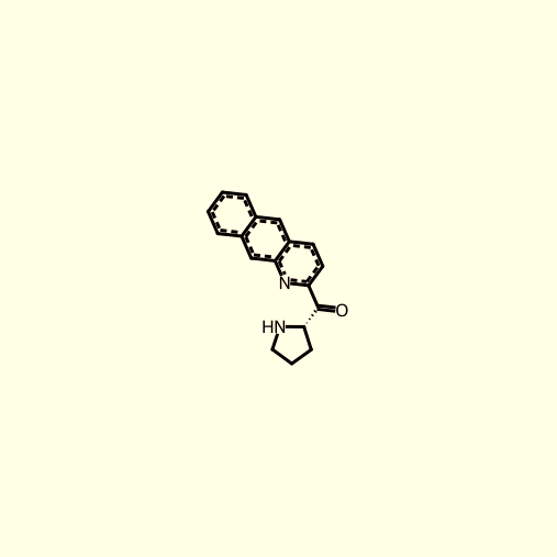 O=C(c1ccc2cc3ccccc3cc2n1)[C@@H]1CCCN1